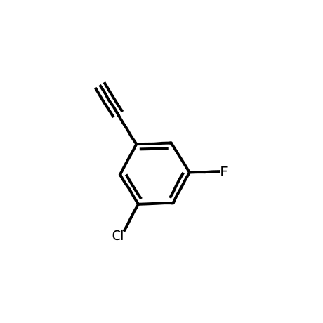 C#Cc1cc(F)cc(Cl)c1